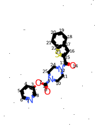 O=C(Oc1cccnc1)N1CCN(C(=O)c2cc3ccccc3s2)CC1